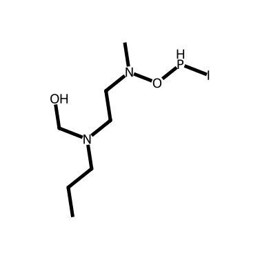 CCCN(CO)CCN(C)OPI